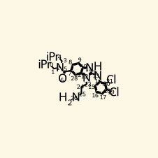 CC(C)CN(CC(C)C)C(=O)c1ccc2nc(Nc3cccc(Cl)c3Cl)n(CCCN)c2c1